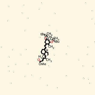 C=C1C(=CC=C2CCC[C@]3(C)[C@@H]([C@H](C)C=CC(=O)OC)CC[C@@H]23)C[C@H](O[Si](C)(C)C(C)(C)C)C[C@@H]1O[Si](C)(C)C(C)(C)C